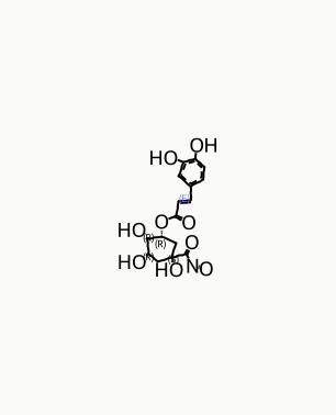 O=NC(=O)[C@]1(O)C[C@@H](O)[C@@H](O)[C@H](OC(=O)/C=C/c2ccc(O)c(O)c2)C1